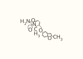 Cc1cc2cc(OCC3=CC=CN(C4(C(N)=O)CCOC4)C3C)ccc2o1